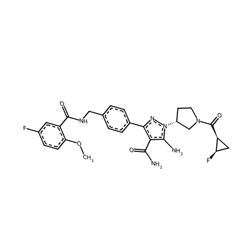 COc1ccc(F)cc1C(=O)NCc1ccc(-c2nn([C@@H]3CCN(C(=O)[C@H]4C[C@H]4F)C3)c(N)c2C(N)=O)cc1